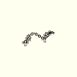 O=C1CC[C@@H](NC(=O)N2CCCc3c(C4CCN(CC5CCN(c6ccc(-c7cnc8[nH]cc(C(=O)c9c(F)ccc(NS(=O)(=O)N%10CC[C@@H](F)C%10)c9F)c8c7)cc6)CC5)CC4)ccnc32)C(=O)N1